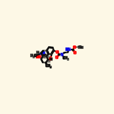 C=C1CC[C@@]2(O)[C@H]3Cc4ccc(OC(=O)N(C)CCNC(=O)OC(C)(C)C)c5c4[C@@]2(CCN3C)[C@H]1O5